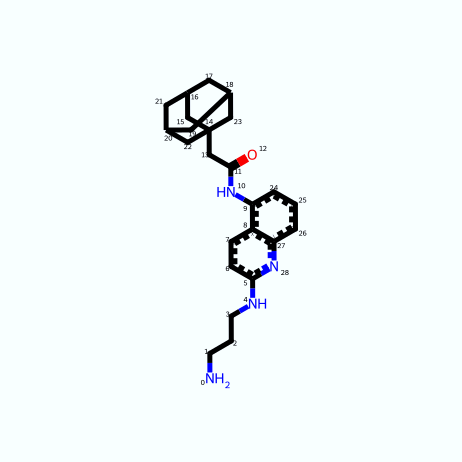 NCCCNc1ccc2c(NC(=O)CC34CC5CC(CC(C5)C3)C4)cccc2n1